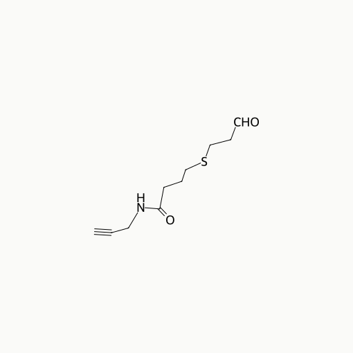 C#CCNC(=O)CCCSCCC=O